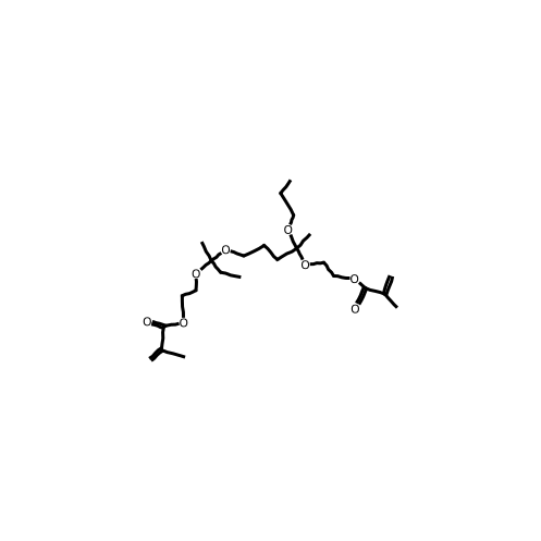 C=C(C)C(=O)OCCOC(C)(CC)OCCCC(C)(OCCC)OCCOC(=O)C(=C)C